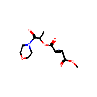 COC(=O)/C=C/C(=O)OC(C)C(=O)N1CCOCC1